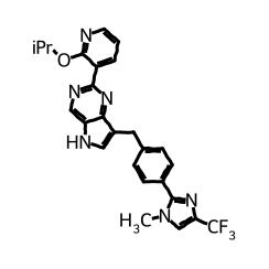 CC(C)Oc1ncccc1-c1ncc2[nH]cc(Cc3ccc(-c4nc(C(F)(F)F)cn4C)cc3)c2n1